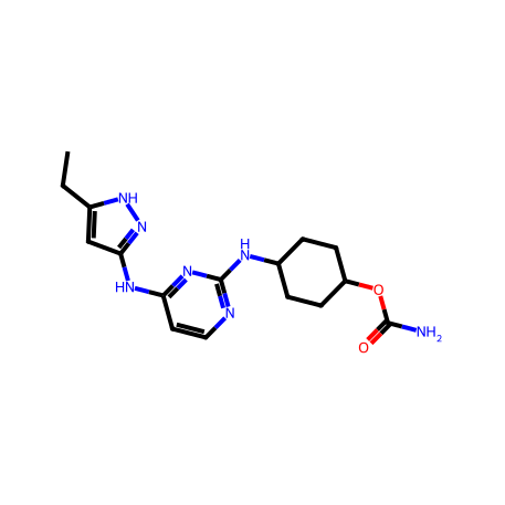 CCc1cc(Nc2ccnc(NC3CCC(OC(N)=O)CC3)n2)n[nH]1